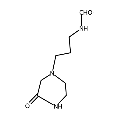 O=[C]NCCCN1CCNC(=O)C1